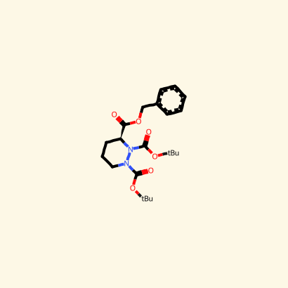 CC(C)(C)OC(=O)N1CCC[C@@H](C(=O)OCc2ccccc2)N1C(=O)OC(C)(C)C